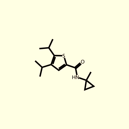 CC(C)c1cc(C(=O)NC2(C)CC2)sc1C(C)C